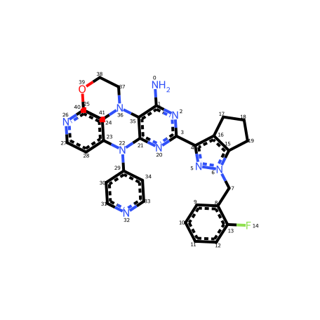 Nc1nc(-c2nn(Cc3ccccc3F)c3c2CCC3)nc(N(c2ccncc2)c2ccncc2)c1N1CCOCC1